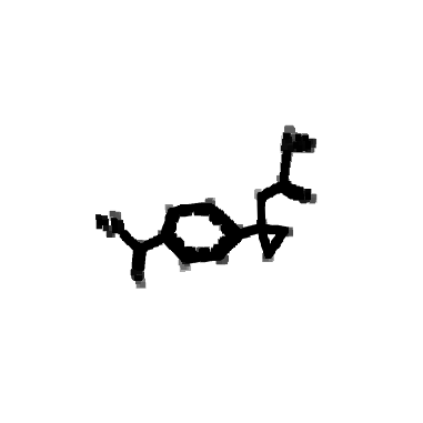 CNC(=O)CC1(c2ccc(C(N)=O)cc2)CC1